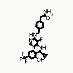 NC(=O)Cc1ccc(CNc2ncnc(NC(c3ccc(C(F)(F)F)cc3O)C3CC3)c2F)cc1